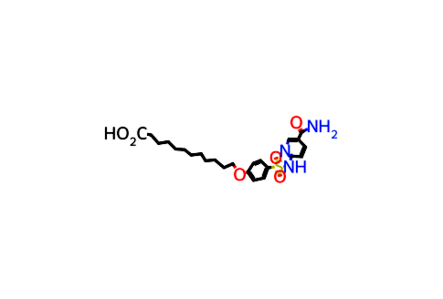 NC(=O)c1ccc(NS(=O)(=O)c2ccc(OCCCCCCCCCCCC(=O)O)cc2)nc1